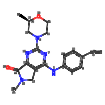 CCCCCc1ccc(Nc2nc(N3CCO[C@H](C)C3)nc3c2CN(C(C)C)C3=O)cc1